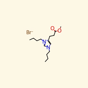 CCCCn1cc(CCC(=O)OC)[n+](CCCC)c1.[Br-]